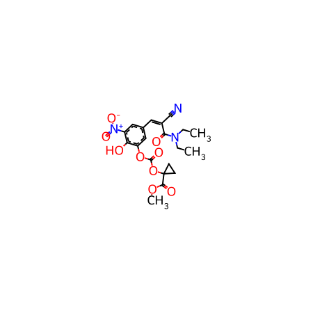 CCN(CC)C(=O)C(C#N)=Cc1cc(OC(=O)OC2(C(=O)OC)CC2)c(O)c([N+](=O)[O-])c1